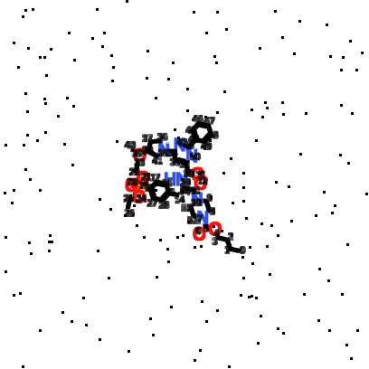 CCCCOC(=O)N1CCN(C(=O)[C@H](Cc2ccc(P(=O)(OCC)OCC)cc2)NC(=O)c2cc(N3CC[C@H](OC)C3)nc(-c3ccccc3)n2)CC1